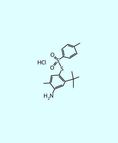 Cc1ccc(S(=O)(=O)Sc2cc(C)c(N)cc2C(C)(C)C)cc1.Cl